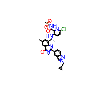 Cc1cc([C@@H](C)Nc2ccc(Cl)nc2C(=O)NS(C)(=O)=O)c2nc(-c3ccc4nn(CC5CC5)cc4c3)n(C)c(=O)c2c1